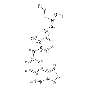 CN(CCF)SNc1cccc(Oc2ccc3c(c2)C2=NCCN2C=N3)c1Cl